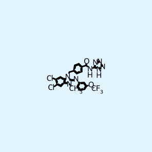 Cn1/c(=N\c2cccc(OC(F)(F)F)c2)n(Cc2ccc(C(=O)Nc3nnn[nH]3)cc2)c2cc(Cl)c(Cl)cc21